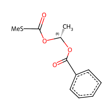 CSC(=O)O[C@H](C)OC(=O)c1ccccc1